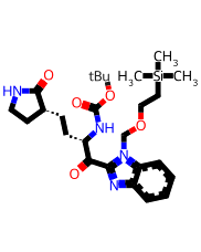 CC(C)(C)OC(=O)N[C@@H](CC[C@@H]1CCNC1=O)C(=O)c1nc2ccccc2n1COCC[Si](C)(C)C